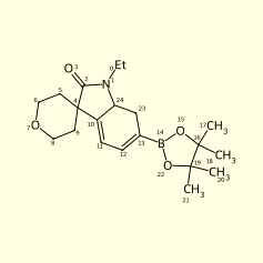 CCN1C(=O)C2(CCOCC2)C2=CC=C(B3OC(C)(C)C(C)(C)O3)CC21